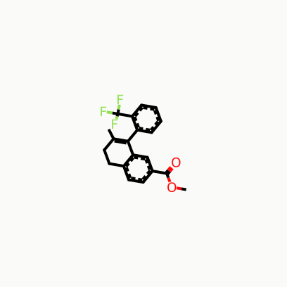 COC(=O)c1ccc2c(c1)C(c1ccccc1C(F)(F)F)=C(C)CC2